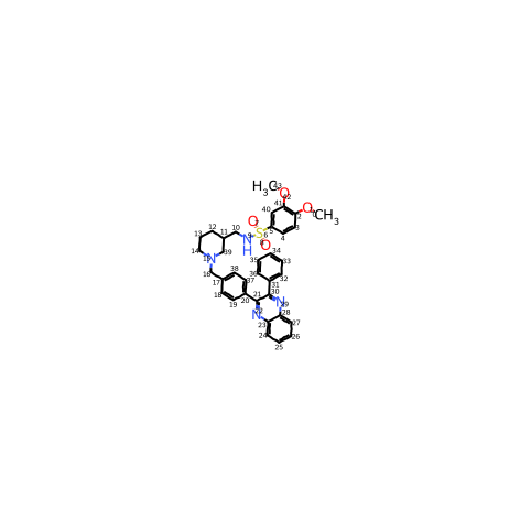 COc1ccc(S(=O)(=O)NCC2CCCN(Cc3ccc(-c4nc5ccccc5nc4-c4ccccc4)cc3)C2)cc1OC